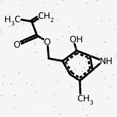 C=C(C)C(=O)OCc1cc(C)c2c(c1O)N2